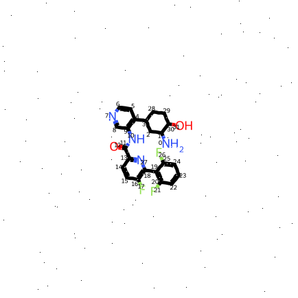 NC1CC(c2ccncc2NC(=O)c2ccc(F)c(-c3c(F)cccc3F)n2)CCC1O